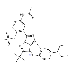 CCN(CC)c1ccc(/C=c2/c(C(C)(C)C)nn3c(-c4cc(NC(C)=O)ccc4NS(C)(=O)=O)nnc23)c(C)c1